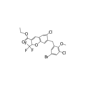 CCOC(=O)C1=Cc2cc(Cl)c(Cc3cc(Br)cc(Cl)c3OC)cc2OC1C(F)(F)F